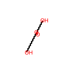 O=C(CCCCCCCCCCCCCCCO)OCCCCCCCCCO